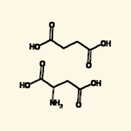 NC(CC(=O)O)C(=O)O.O=C(O)CCC(=O)O